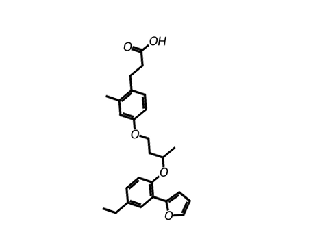 CCc1ccc(OC(C)CCOc2ccc(CCC(=O)O)c(C)c2)c(-c2ccco2)c1